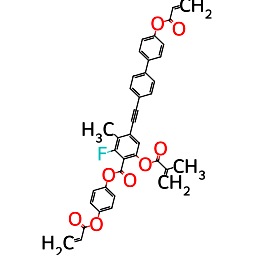 C=CC(=O)Oc1ccc(OC(=O)c2c(OC(=O)C(=C)C)cc(C#Cc3ccc(-c4ccc(OC(=O)C=C)cc4)cc3)c(C)c2F)cc1